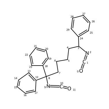 O=C=NC(CCCCC(N=C=O)(c1ccccc1)c1ccccc1)c1ccccc1